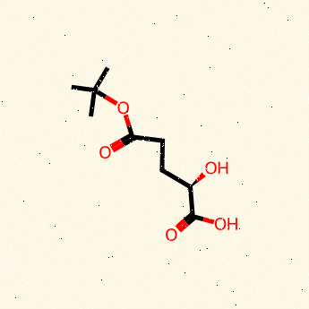 CC(C)(C)OC(=O)CC[C@@H](O)C(=O)O